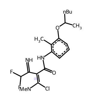 CCCCC(C)Oc1cccc(NC(=O)/C(C(=N)C(F)F)=C(\Cl)NC)c1C